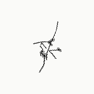 CCCCCCCCCCCCCCCCCC(=O)OCC(COC(=O)CCCCCCCC(CCCCCCCC)C(CCCCCCCC)CCCCCCCCC(=O)OC)OC(=O)CCCCCCCC(CCCCCCCCC)C(CCCCCCC)CCCCCCCCCC(=O)OC(CC)COC(=O)CCCCCCCCCCCCCCCC